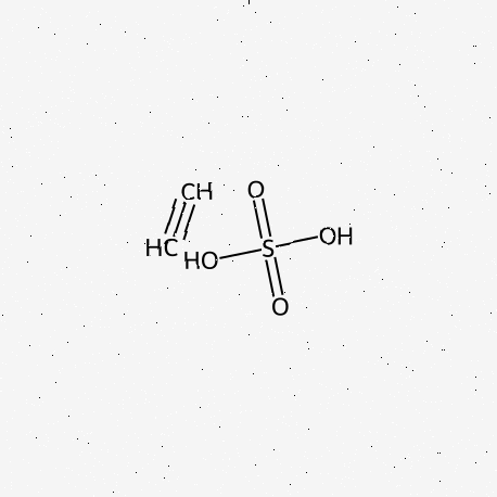 C#C.O=S(=O)(O)O